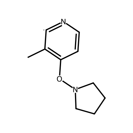 Cc1[c]nccc1ON1CCCC1